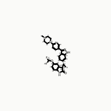 CN1CCN(c2ccc(-c3n[nH]c4cc([C@@H]5C[C@@]56C(=O)Nc5ccc(OC(F)F)cc56)ccc34)cn2)CC1